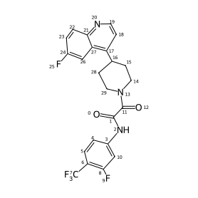 O=C(Nc1ccc(C(F)(F)F)c(F)c1)C(=O)N1CCC(c2ccnc3ccc(F)cc23)CC1